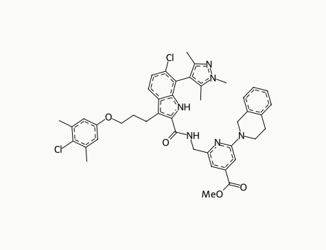 COC(=O)c1cc(CNC(=O)c2[nH]c3c(-c4c(C)nn(C)c4C)c(Cl)ccc3c2CCCOc2cc(C)c(Cl)c(C)c2)nc(N2CCc3ccccc3C2)c1